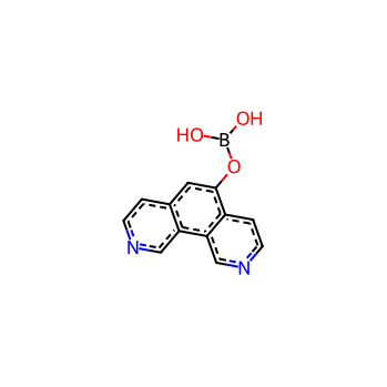 OB(O)Oc1cc2ccncc2c2cnccc12